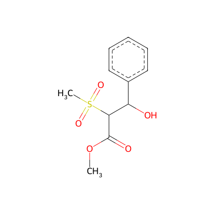 COC(=O)C(C(O)c1ccccc1)S(C)(=O)=O